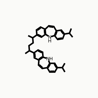 CC(C)c1ccc2c(c1)C=Cc1ccc(C(C)CCC(C)c3ccc4c(c3)C=Cc3ccc(C(C)C)cc3N4)cc1N2